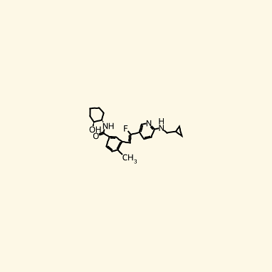 Cc1ccc(C(=O)N[C@H]2CCCC[C@@H]2O)cc1/C=C(\F)c1ccc(NCC2CC2)nc1